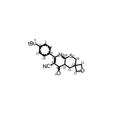 CC(C)(C)c1ccc(C2=C(C#N)C(=O)C3CC4(COC4)CSC3=N2)cc1